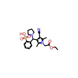 CCOC(=O)Cn1c(C)c(C#N)c(C(c2ccccc2S(=O)(=O)O)N2CCCC2)c1C